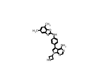 Cc1cc(C)c2oc(Nc3ccc(-c4cn(C5CNC5)c5ncnc(N)c45)cc3)nc2c1